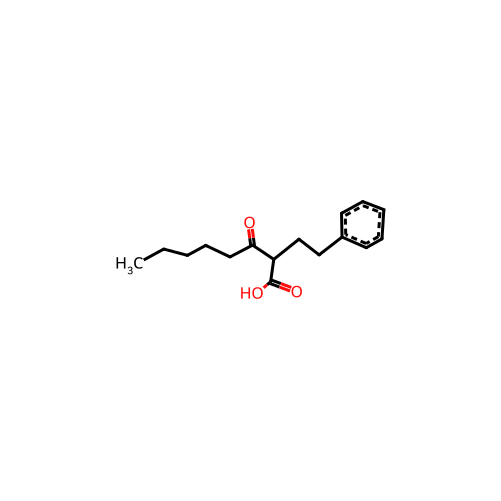 CCCCCC(=O)C(CCc1ccccc1)C(=O)O